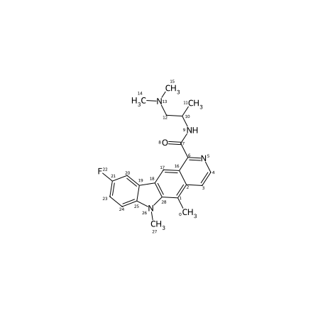 Cc1c2ccnc(C(=O)NC(C)CN(C)C)c2cc2c3cc(F)ccc3n(C)c12